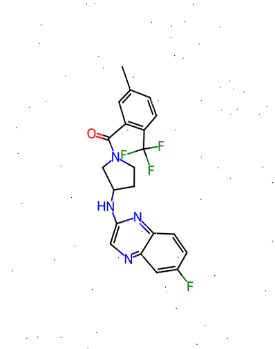 Cc1ccc(C(F)(F)F)c(C(=O)N2CCC(Nc3cnc4cc(F)ccc4n3)C2)c1